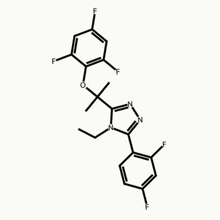 CCn1c(-c2ccc(F)cc2F)nnc1C(C)(C)Oc1c(F)cc(F)cc1F